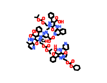 CC[N+]1(CCOC(=O)OC(C)C)C(=O)C(Nc2cnccc2C)C(C(=O)O)=C(c2ccccc2)N1C1=CC(C(=O)O)CN=N1.CC[N+]1(CCOC(=O)OC(C)C)N=C(c2ccccc2)C(C(=O)O)=C(Nc2cncc3ccccc23)C1=O.CC[N+]1(CCOC(=O)OC2CCCCC2)N=C(c2ccccc2)C(C(=O)O)=C(Nc2cccnc2)C1=O